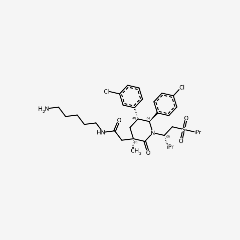 CC(C)[C@@H](CS(=O)(=O)C(C)C)N1C(=O)[C@@](C)(CC(=O)NCCCCCN)C[C@H](c2cccc(Cl)c2)[C@H]1c1ccc(Cl)cc1